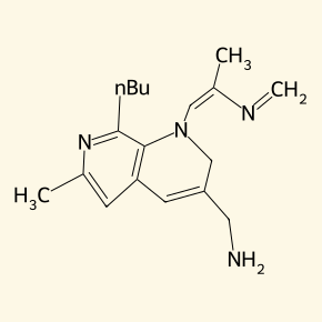 C=N/C(C)=C\N1CC(CN)=Cc2cc(C)nc(CCCC)c21